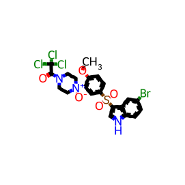 COc1ccc(S(=O)(=O)c2c[nH]c3ccc(Br)cc23)cc1[N+]1([O-])CCN(C(=O)C(Cl)(Cl)Cl)CC1